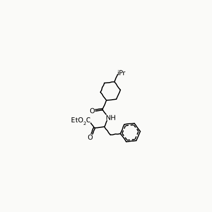 CCOC(=O)C(=O)C(Cc1ccccc1)NC(=O)C1CCC(C(C)C)CC1